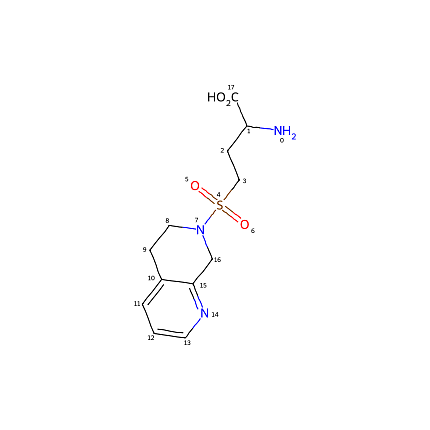 NC(CCS(=O)(=O)N1CCc2cccnc2C1)C(=O)O